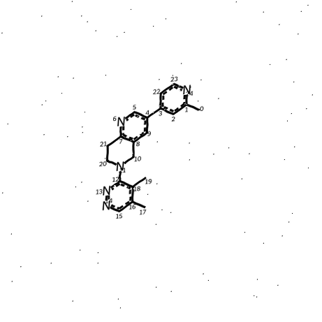 Cc1cc(-c2cnc3c(c2)CN(c2nncc(C)c2C)CC3)ccn1